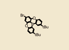 CC(C)(C)c1ccc2c(c1)B1c3cc(C(C)(C)C)ccc3Oc3cc(Br)cc(c31)O2